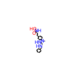 CN1c2ccc(/C=C/C(=O)NO)cc2NC1CNCc1ccccc1